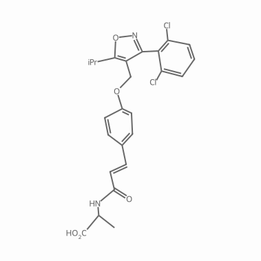 CC(NC(=O)/C=C/c1ccc(OCc2c(-c3c(Cl)cccc3Cl)noc2C(C)C)cc1)C(=O)O